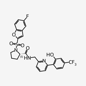 O=C(NCc1cccc(-c2ccc(C(F)(F)F)cc2O)n1)[C@@H]1CCCN1S(=O)(=O)c1cc2cc(F)ccc2o1